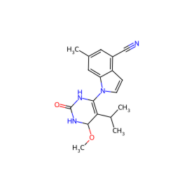 COC1NC(=O)NC(n2ccc3c(C#N)cc(C)cc32)=C1C(C)C